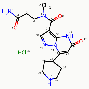 CN(CCC(N)=O)C(=O)c1cnn2c(C3CCNCC3)cc(=O)[nH]c12.Cl